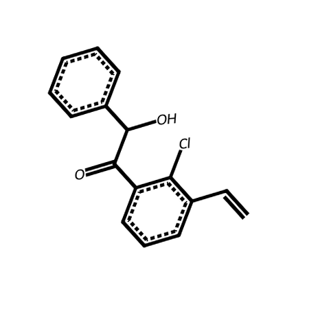 C=Cc1cccc(C(=O)C(O)c2ccccc2)c1Cl